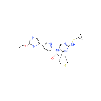 CCOc1cncc(-c2ccc(NC(=O)C3(c4ccnc(NSC5CC5)n4)CCSCC3)nc2)n1